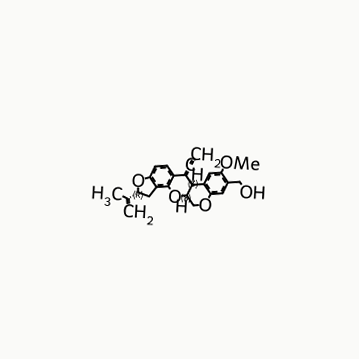 C=C=C1c2ccc3c(c2O[C@@H]2COc4cc(CO)c(OC)cc4[C@H]12)C[C@H](C(=C)C)O3